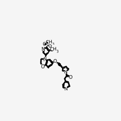 Cc1cc(N2CCOc3ccc(OC#CC4CCN(C(=O)Cc5ccncc5)C4)cc32)cnc1S(C)(=O)=O